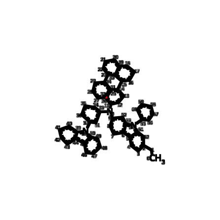 CCc1ccc2c3ccc(N(c4ccc(-c5cccc6cccc(-c7ccccc7)c56)cc4)c4cccc(-n5c6ccccc6c6ccccc65)c4)cc3n(-c3ccccc3)c2c1